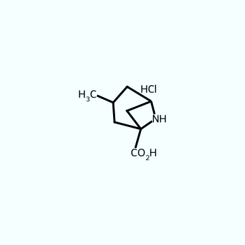 CC1CC2CC(C(=O)O)(C1)N2.Cl